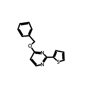 c1ccc(COc2ccnc(-c3cccs3)n2)cc1